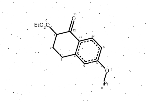 CCOC(=O)C1CCc2cc(OC(C)C)ccc2C1=O